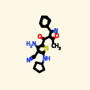 Cc1onc(-c2ccccc2)c1C(=O)c1sc(NC2CCCC2)c(C#N)c1N